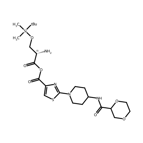 CC(C)(C)[Si](C)(C)OC[C@H](N)C(=O)OC(=O)c1csc(N2CCC(NC(=O)C3COCCO3)CC2)n1